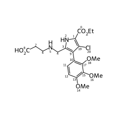 CCOC(=O)c1[nH]c(CNCCC(=O)O)c(-c2ccc(OC)c(OC)c2OC)c1Cl